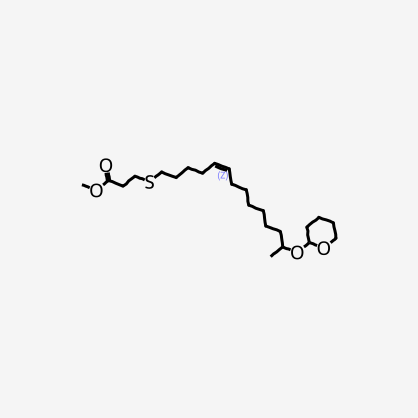 COC(=O)CCSCCCC/C=C\CCCCCCC(C)OC1CCCCO1